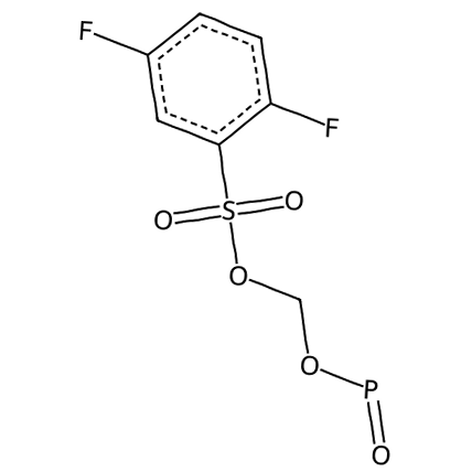 O=POCOS(=O)(=O)c1cc(F)ccc1F